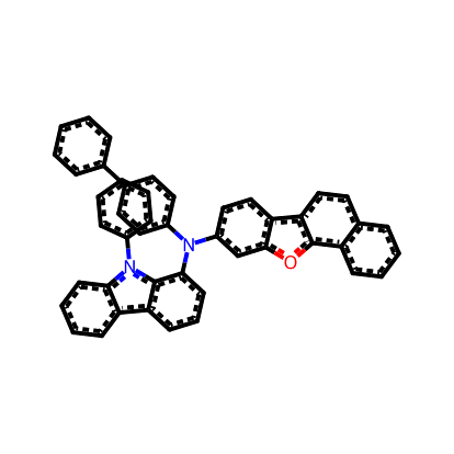 c1ccc(-c2ccc(N(c3ccc4c(c3)oc3c5ccccc5ccc43)c3cccc4c5ccccc5n(-c5ccccc5)c34)cc2)cc1